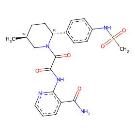 C[C@H]1CC[C@H](c2ccc(NS(C)(=O)=O)cc2)N(C(=O)C(=O)Nc2ncccc2C(N)=O)C1